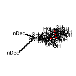 CCCCCCCCCCCCC/C=C/[C@@H](O)[C@H](CO[C@@H]1OC(CO)[C@@H](O[C@@H]2OC(CO)[C@H](O[C@@H]3OC(CO)[C@H](O)[C@H](O[C@@H]4OC(CO)[C@H](O)[C@H](O[C@H]5OC(CO)[C@H](O)[C@H](O)C5O)C4O[C@H]4OC(C)[C@@H](O)C(O)[C@@H]4O)C3NC(C)=O)[C@H](O[C@]3(C(=O)O)CC(O)[C@@H](NC(C)=O)C([C@H](O)[C@H](O)CO)O3)C2O)[C@H](O)C1O)NC(=O)CCCCCCCCCCCCCCCCCCCCC